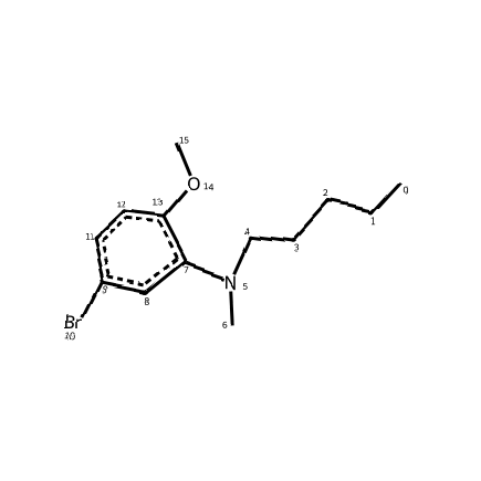 CCCCCN(C)c1cc(Br)ccc1OC